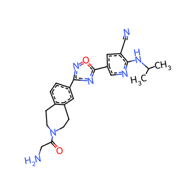 CC(C)Nc1ncc(-c2nc(-c3ccc4c(c3)CCN(C(=O)CN)CC4)no2)cc1C#N